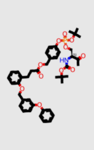 CC(=O)[C@H](COP(=O)(Oc1ccc(COC(=O)CCc2ccccc2OCc2cccc(Oc3ccccc3)c2)cc1)OC(C)(C)C)NC(=O)OC(C)(C)C